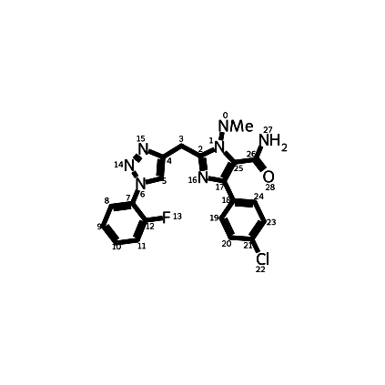 CNn1c(Cc2cn(-c3ccccc3F)nn2)nc(-c2ccc(Cl)cc2)c1C(N)=O